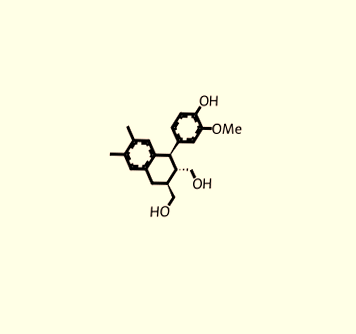 COc1cc([C@@H]2c3cc(C)c(C)cc3C[C@H](CO)[C@H]2CO)ccc1O